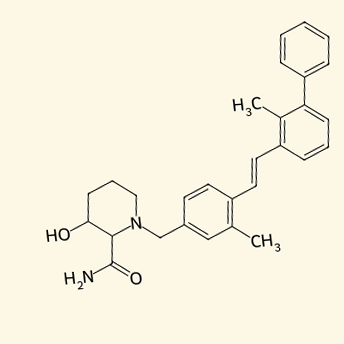 Cc1cc(CN2CCCC(O)C2C(N)=O)ccc1C=Cc1cccc(-c2ccccc2)c1C